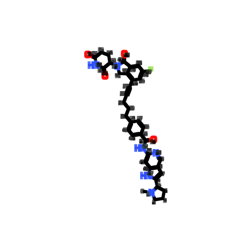 CN1CCC[C@@H]1c1cc2cnc(NC(=O)c3ccc(CCCC#Cc4cc(F)cc5c4CN(C4CCC(=O)NC4=O)C5=O)cc3)cc2[nH]1